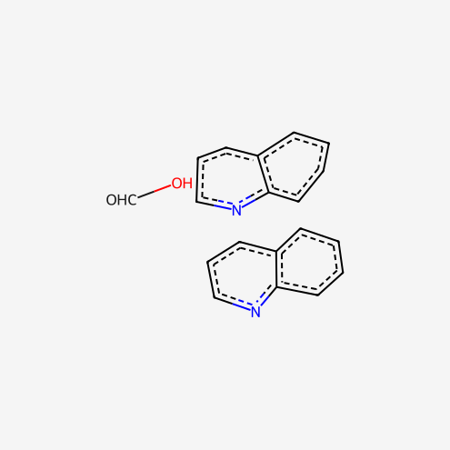 O=CO.c1ccc2ncccc2c1.c1ccc2ncccc2c1